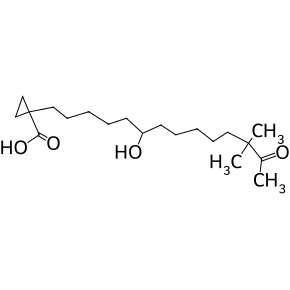 CC(=O)C(C)(C)CCCCCC(O)CCCCCC1(C(=O)O)CC1